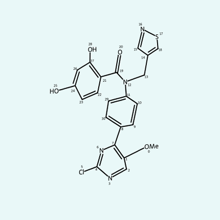 COc1cnc(Cl)nc1-c1ccc(N(Cc2cnsc2)C(=O)c2ccc(O)cc2O)cc1